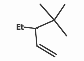 C=C[C](CC)C(C)(C)C